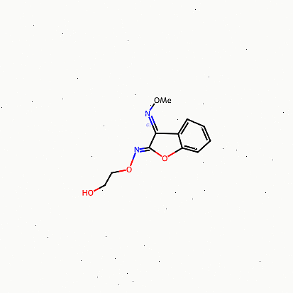 CO/N=C1/C(=NOCCO)Oc2ccccc21